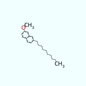 CCCCCCCCCCc1ccc2ccc(OC)cc2c1